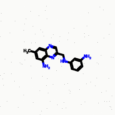 Cc1cc(N)c2nc(CNc3cccc(N)c3)cnc2c1